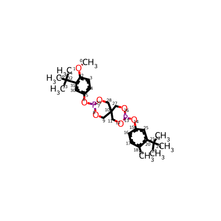 COc1ccc(OP2OCC3(COP(Oc4ccc(C)c(C(C)(C)C)c4)OC3)CO2)cc1C(C)(C)C